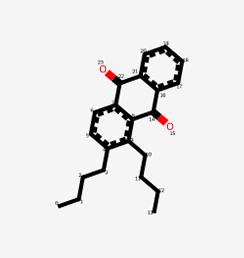 CCCCc1ccc2c(c1CCCC)C(=O)c1ccccc1C2=O